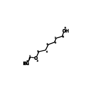 CC[C@H](C)COCCCCCCO